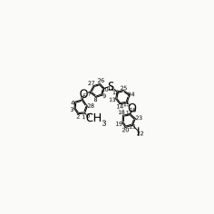 Cc1cccc(Oc2ccc(Sc3ccc(Oc4cccc(I)c4)cc3)cc2)c1